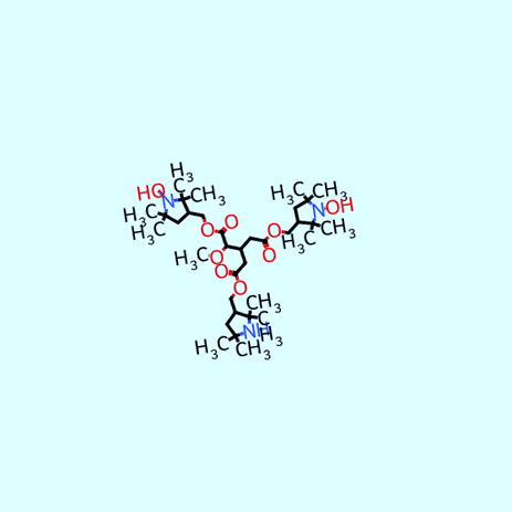 COC(C(=O)OCC1CC(C)(C)N(O)C1(C)C)C(CC(=O)OCC1CC(C)(C)NC1(C)C)CC(=O)OCC1CC(C)(C)N(O)C1(C)C